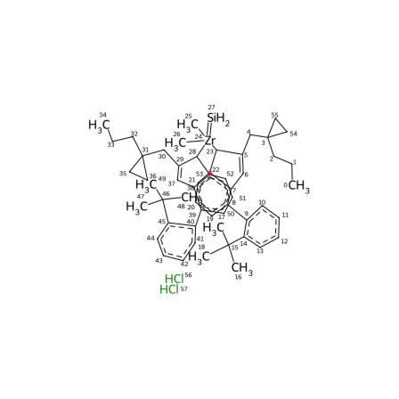 CCCC1(CC2=Cc3c(-c4ccccc4C(C)(C)C)cccc3[CH]2[Zr]([CH3])([CH3])(=[SiH2])[CH]2C(CC3(CCC)CC3)=Cc3c(-c4ccccc4C(C)(C)C)cccc32)CC1.Cl.Cl